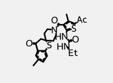 CCNC(=O)Nc1sc(C(C)=O)c(C)c1C(=O)N1CCC2(CC1)CC(=O)c1cc(C)ccc1S2